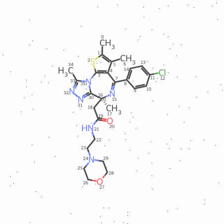 Cc1sc2c(c1C)C(c1ccc(Cl)cc1)=N[C@@](C)(CC(=O)NCCN1CCOCC1)c1nnc(C)n1-2